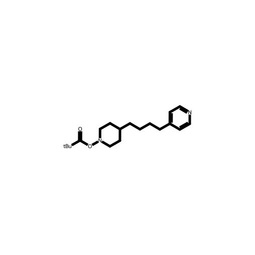 CC(C)(C)C(=O)ON1CCC(CCCCc2ccncc2)CC1